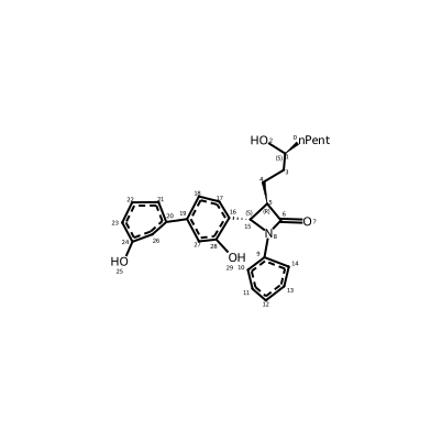 CCCCC[C@H](O)CC[C@H]1C(=O)N(c2ccccc2)[C@@H]1c1ccc(-c2cccc(O)c2)cc1O